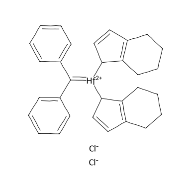 C1=C[CH]([Hf+2](=[C](c2ccccc2)c2ccccc2)[CH]2C=CC3=C2CCCC3)C2=C1CCCC2.[Cl-].[Cl-]